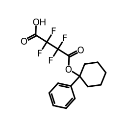 O=C(O)C(F)(F)C(F)(F)C(=O)OC1(c2ccccc2)CCCCC1